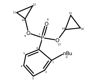 CCCCc1ccccc1P(=O)(OC1CC1)OC1CC1